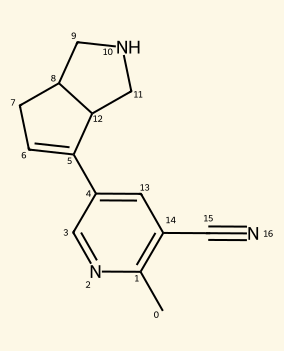 Cc1ncc(C2=CCC3CNCC23)cc1C#N